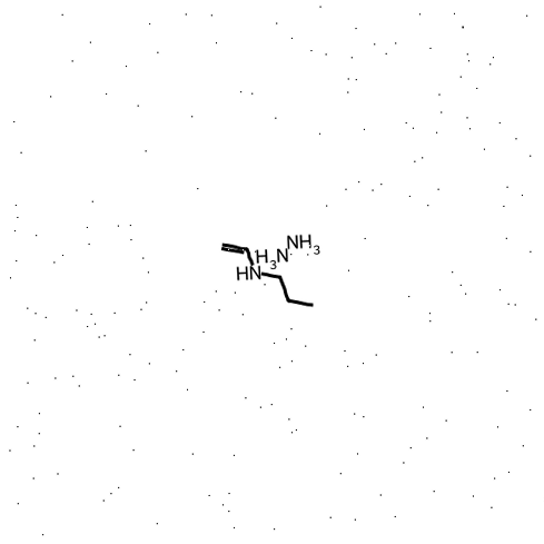 C=CNCCC.N.N